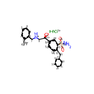 CC(C)c1ccccc1CNCC(=O)c1ccc(Cc2ccccc2)c(S(N)(=O)=O)c1.Cl